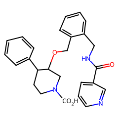 O=C(NCc1ccccc1COC1CN(C(=O)O)CCC1c1ccccc1)c1cccnc1